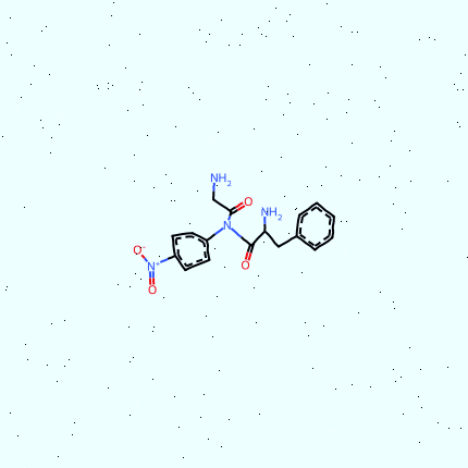 NCC(=O)N(C(=O)C(N)Cc1ccccc1)c1ccc([N+](=O)[O-])cc1